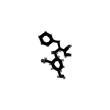 CNC(=O)[C@H](Cc1ccccc1)Nc1ccc([N+](=O)[O-])cc1[N+](=O)[O-]